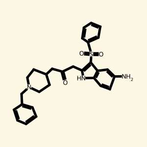 Nc1ccc2[nH]c(CC(=O)CC3CCN(Cc4ccccc4)CC3)c(S(=O)(=O)c3ccccc3)c2c1